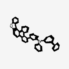 c1ccc(-c2cccc(N(c3ccccc3)c3cccc(-c4cccc5c6ccc7oc8ccccc8c7c6c6ccccc6c45)c3)c2)cc1